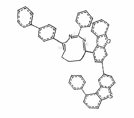 C1=C(c2ccc(-c3ccccc3)cc2)/N=C(c2ccccc2)\N=C(\c2cc(-c3ccc4sc5cccc(-c6ccccc6)c5c4c3)cc3oc4ccccc4c23)CCC/1